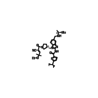 CCOC(C)(C)C=C(C#N)C(=O)N1CC[C@H](Cn2c(NC(=O)c3ccc(C(F)F)s3)nc3cc(CN[C@@H](C)C(C)(C)C)ccc32)C1